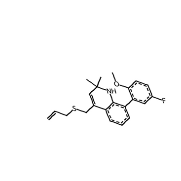 C=CCSCC1=CC(C)(C)Nc2c1cccc2-c1cc(F)ccc1OC